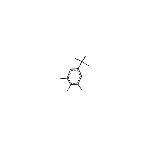 [CH2]c1cc(C(C)(C)C)cc(C)c1[CH2]